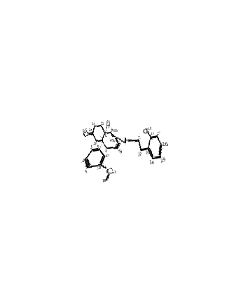 COc1cccc([C@@]23CCN(CCc4ccccc4Cl)C[C@@H]2CCC(=O)C3)c1